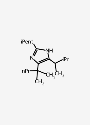 CCCC(C)c1nc(C(C)(C)CCC)c(C(C)C(C)C)[nH]1